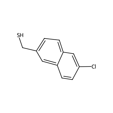 SCc1ccc2cc(Cl)ccc2c1